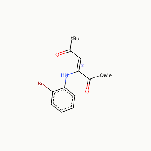 COC(=O)/C(=C/C(=O)C(C)(C)C)Nc1ccccc1Br